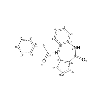 O=C1Nc2ccccc2N(C(=O)Cc2ccccc2)c2cscc21